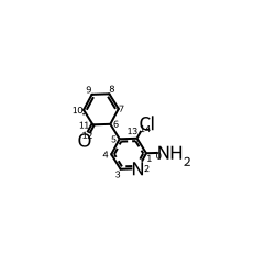 Nc1nccc(C2C=CC=[C]C2=O)c1Cl